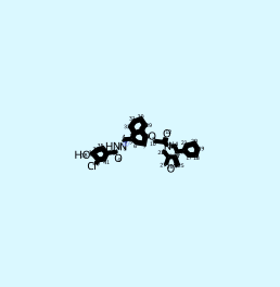 O=C(N/N=C/c1ccc(OCC(=O)N(CCc2ccccc2)CC2C=COC2)c2ccccc12)c1ccc(O)c(Cl)c1